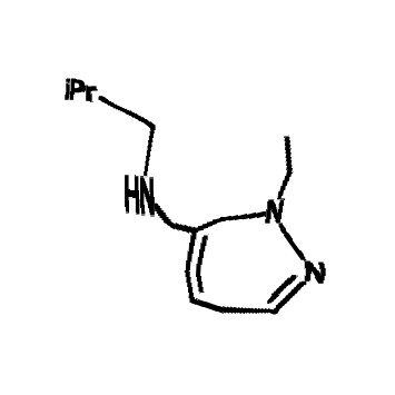 CC(C)CNc1ccnn1C